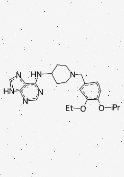 CCOc1cc(CN2CCC(Nc3ncnc4[nH]cnc34)CC2)ccc1OC(C)C